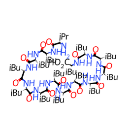 CC[C@H](C)[C@H](NC(=O)[C@@H](NC(=O)[C@@H](NC(=O)[C@@H](NC(=O)[C@@H](NC(=O)[C@@H](NC(=O)[C@@H](NC(=O)[C@@H](NC(=O)[C@@H](NC(=O)[C@@H](NC(=O)[C@@H](NC(=O)[C@@H](NC(=O)[C@@H](NC(=O)[C@@H](N)C(C)C)[C@@H](C)CC)[C@@H](C)CC)[C@@H](C)CC)[C@@H](C)CC)[C@@H](C)CC)[C@@H](C)CC)[C@@H](C)CC)[C@@H](C)CC)[C@@H](C)CC)[C@@H](C)CC)[C@@H](C)CC)[C@@H](C)CC)C(=O)O